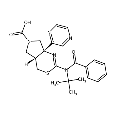 CC(C)(C)N(C(=O)c1ccccc1)C1=N[C@@]2(c3cnccn3)CN(C(=O)O)C[C@H]2CS1